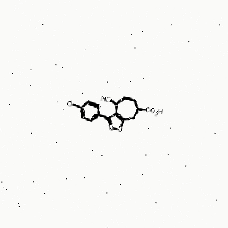 N#CC1CCC(C(=O)O)Cc2onc(-c3ccc(Cl)cc3)c21